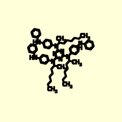 CCCCCCC(C)N(c1ccc(Nc2ccccc2)cc1)c1nc(N(c2ccc(Nc3ccccc3)cc2)C(C)CCCCCC)nc(N(c2ccc(Nc3ccccc3)cc2)C(C)CCCCCC)n1